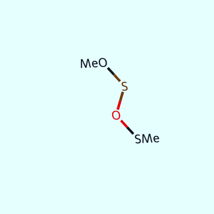 COSOSC